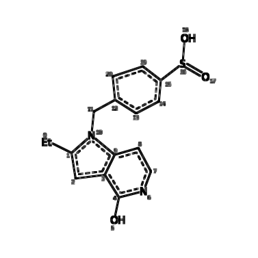 CCc1cc2c(O)nccc2n1Cc1ccc(S(=O)O)cc1